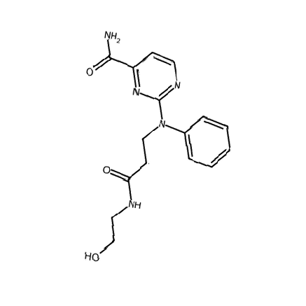 NC(=O)c1ccnc(N(C[CH]C(=O)NCCO)c2ccccc2)n1